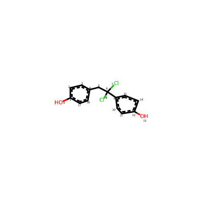 Oc1ccc(CC(Cl)(Cl)c2ccc(O)cc2)cc1